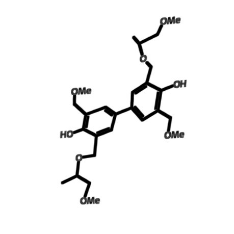 COCc1cc(-c2cc(COC)c(O)c(COC(C)COC)c2)cc(COC(C)COC)c1O